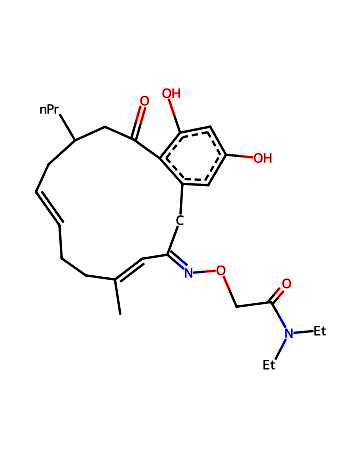 CCCC1C/C=C/CC/C(C)=C/C(=N/OCC(=O)N(CC)CC)Cc2cc(O)cc(O)c2C(=O)C1